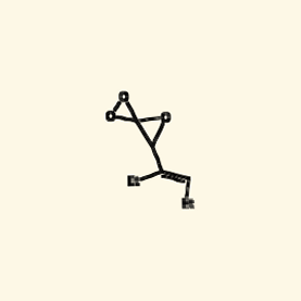 CCC=C(CC)C1OC12OO2